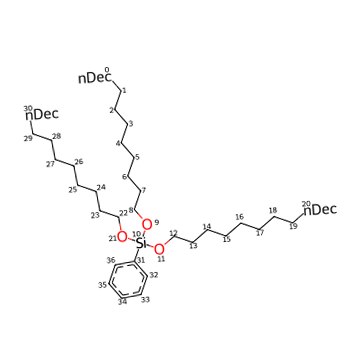 CCCCCCCCCCCCCCCCCCO[Si](OCCCCCCCCCCCCCCCCCC)(OCCCCCCCCCCCCCCCCCC)c1ccccc1